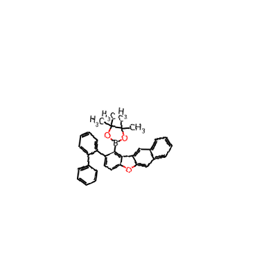 CC1(C)OB(c2c(-c3ccccc3-c3ccccc3)ccc3oc4cc5ccccc5cc4c23)OC1(C)C